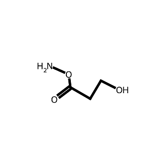 NOC(=O)CCO